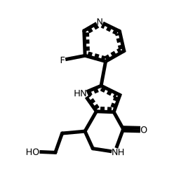 O=C1NCC(CCO)c2[nH]c(-c3ccncc3F)cc21